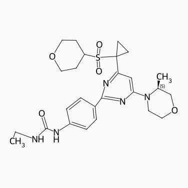 CCNC(=O)Nc1ccc(-c2nc(N3CCOC[C@@H]3C)cc(C3(S(=O)(=O)C4CCOCC4)CC3)n2)cc1